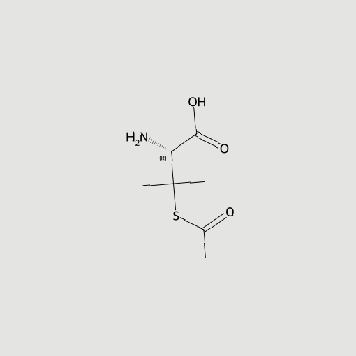 CC(=O)SC(C)(C)[C@H](N)C(=O)O